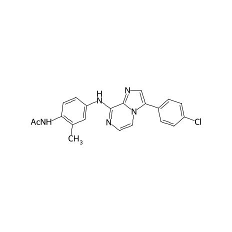 CC(=O)Nc1ccc(Nc2nccn3c(-c4ccc(Cl)cc4)cnc23)cc1C